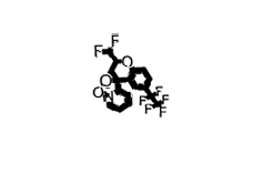 [O-][n+]1ccccc1C12OC1C(C(F)F)Oc1ccc(C(F)(F)C(F)(F)F)cc12